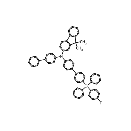 CC1(C)c2ccccc2-c2ccc(N(c3ccc(-c4ccccc4)cc3)c3ccc(-c4ccc([Si](c5ccccc5)(c5ccccc5)c5ccc(F)cc5)cc4)cc3)cc21